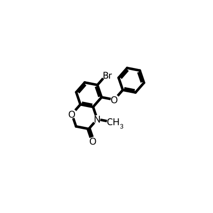 CN1C(=O)COc2ccc(Br)c(Oc3ccccc3)c21